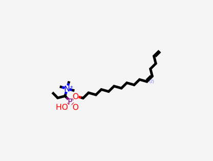 C=CCC/C=C\CCCCCCCCCCOP(=O)(O)C(CC)[N+](C)(C)C